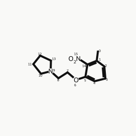 Cc1cccc(OCCN2CCCC2)c1[N+](=O)[O-]